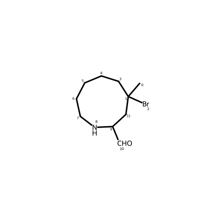 CC1(Br)CCCCCNC(C=O)C1